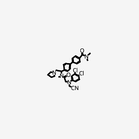 CN(C)C(=O)c1ccc(-c2ccc(C(CN3CCCC3)N(C)C(=O)CN(CC#N)c3ccc(Cl)c(Cl)c3)cc2)cc1